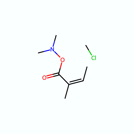 CC=C(C)C(=O)ON(C)C.CCl